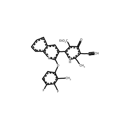 C#Cc1c(C)[nH]c(-c2cc3ccccc3nc2Oc2ccc(F)c(F)c2C)c(C(=O)OCC)c1=O